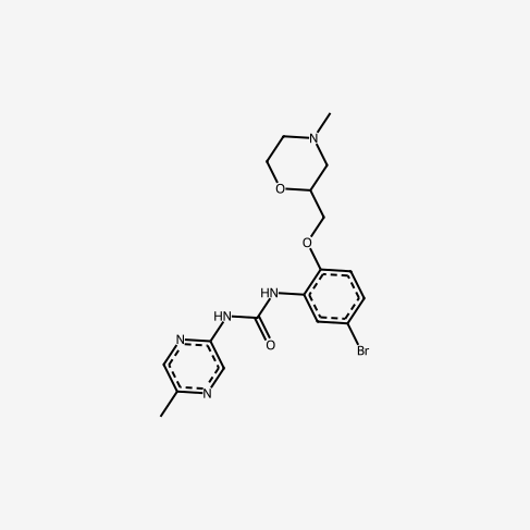 Cc1cnc(NC(=O)Nc2cc(Br)ccc2OCC2CN(C)CCO2)cn1